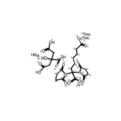 O=C(O)CC(O)(CC(=O)O)C(=O)O.O=C(O)CCCCCC(C(=O)O)(N1C(=O)CCC1=O)N1C(=O)CCC1=O.[NaH].[NaH].[NaH]